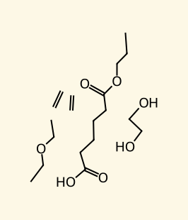 C=C.C=C.CCCOC(=O)CCCCC(=O)O.CCOCC.OCCO